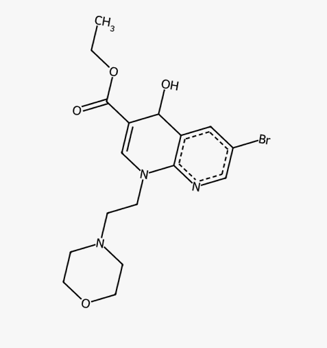 CCOC(=O)C1=CN(CCN2CCOCC2)c2ncc(Br)cc2C1O